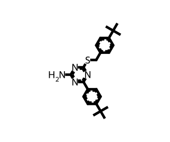 CC(C)(C)c1ccc(CSc2nc(N)nc(-c3ccc(C(C)(C)C)cc3)n2)cc1